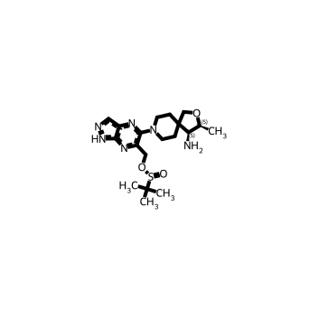 C[C@@H]1OCC2(CCN(c3nc4cn[nH]c4nc3COS(=O)C(C)(C)C)CC2)[C@@H]1N